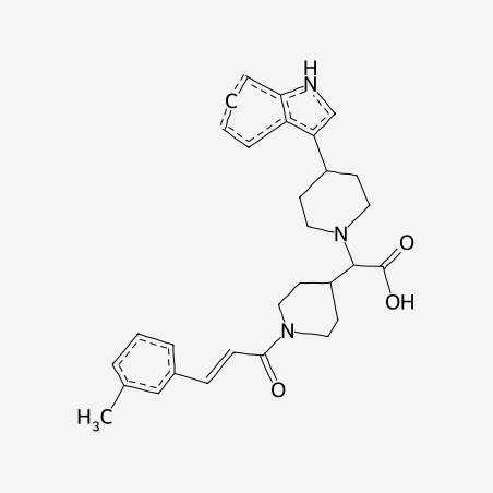 Cc1cccc(C=CC(=O)N2CCC(C(C(=O)O)N3CCC(c4c[nH]c5ccccc45)CC3)CC2)c1